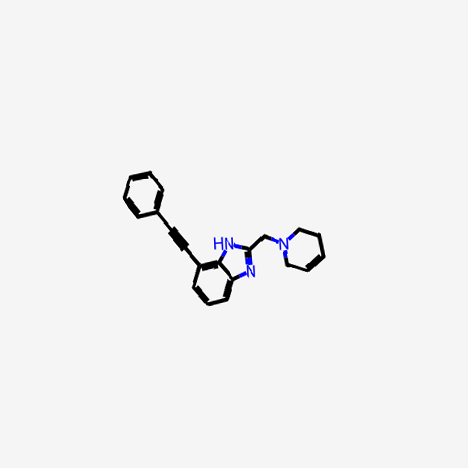 C(#Cc1cccc2nc(CN3CC=CCC3)[nH]c12)c1ccccc1